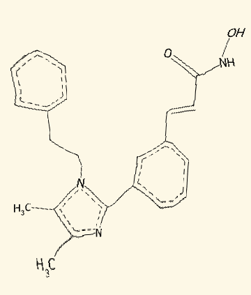 Cc1nc(-c2cccc(C=CC(=O)NO)c2)n(CCc2ccccc2)c1C